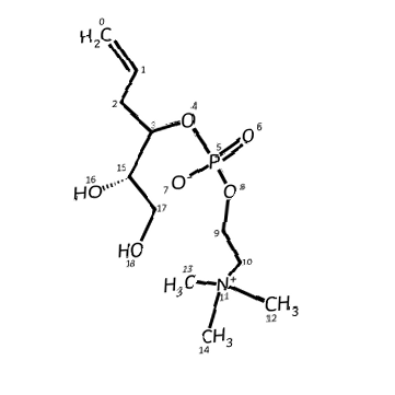 C=CCC(OP(=O)([O-])OCC[N+](C)(C)C)[C@@H](O)CO